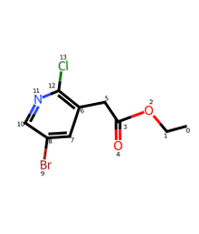 CCOC(=O)Cc1cc(Br)cnc1Cl